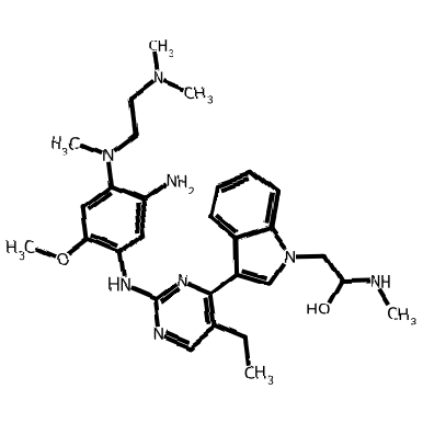 CCc1cnc(Nc2cc(N)c(N(C)CCN(C)C)cc2OC)nc1-c1cn(CC(O)NC)c2ccccc12